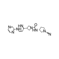 N#CN1CC[C@@H](NC(=O)N2CC(C(=N)/C=C\Nc3cnccn3)C2)C1